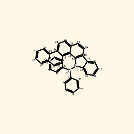 c1ccc(N(c2ccncc2)n2c3ccccc3c3ccc4ccc5c6ccccc6ccc5c4c32)cc1